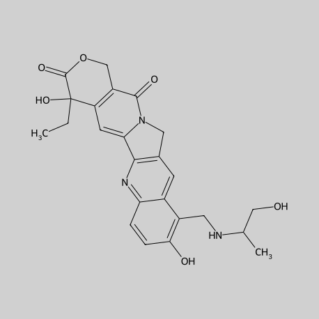 CCC1(O)C(=O)OCc2c1cc1n(c2=O)Cc2cc3c(CNC(C)CO)c(O)ccc3nc2-1